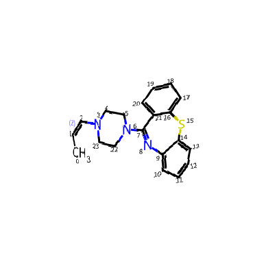 C/C=C\N1CCN(C2=Nc3ccccc3Sc3ccccc32)CC1